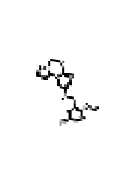 CCOc1ccc(F)cc1SN(C)c1cnc2c(c1)-c1ccnn1CCO2